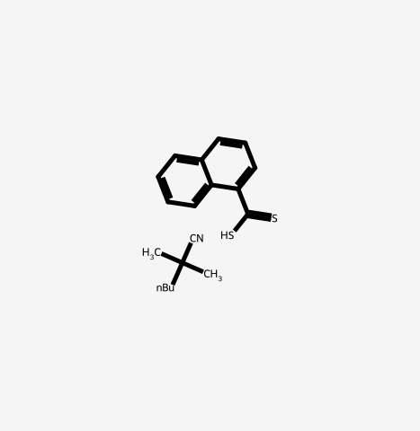 CCCCC(C)(C)C#N.S=C(S)c1cccc2ccccc12